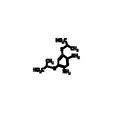 CC(Sc1cc(SC(C)C(=O)O)c(N)cc1N)C(=O)O